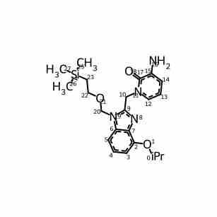 CC(C)Oc1cccc2c1nc(Cn1cccc(N)c1=O)n2COCC[Si](C)(C)C